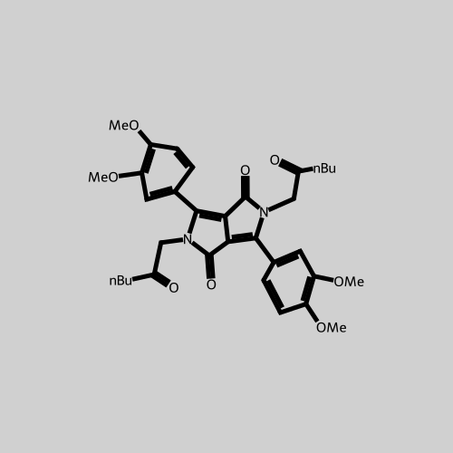 CCCCC(=O)CN1C(=O)C2=C(c3ccc(OC)c(OC)c3)N(CC(=O)CCCC)C(=O)C2=C1c1ccc(OC)c(OC)c1